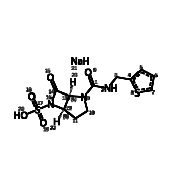 O=C(NCc1cccs1)N1CC[C@@H]2[C@H]1C(=O)N2S(=O)(=O)O.[NaH]